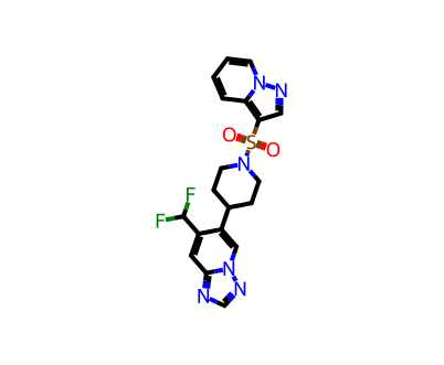 O=S(=O)(c1cnn2ccccc12)N1CCC(c2cn3ncnc3cc2C(F)F)CC1